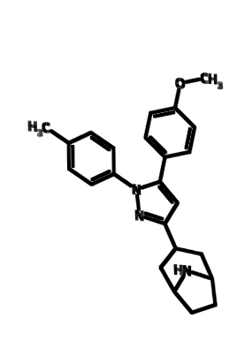 COc1ccc(-c2cc(C3CC4CCC(C3)N4)nn2-c2ccc(C)cc2)cc1